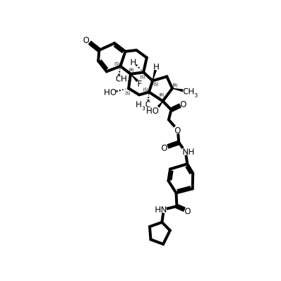 C[C@@H]1C[C@H]2[C@@H]3CCC4=CC(=O)C=C[C@]4(C)[C@@]3(F)[C@@H](O)C[C@]2(C)[C@@]1(O)C(=O)COC(=O)Nc1ccc(C(=O)NC2CCCC2)cc1